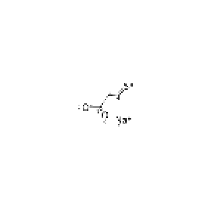 O=C([O-])CC=S.[Na+]